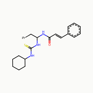 CC(C)CC(NC(=O)C=Cc1ccccc1)NC(=S)NC1CCCCC1